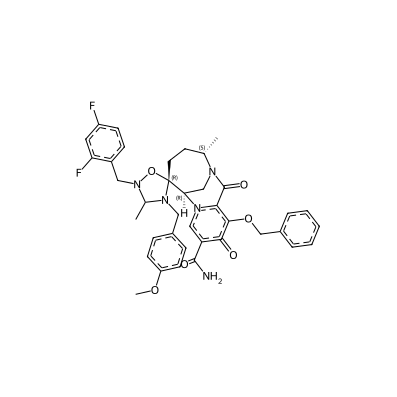 COc1ccc(CN2C(C)N(Cc3ccc(F)cc3F)O[C@@]23CC[C@H](C)N2C[C@H]3n3cc(C(N)=O)c(=O)c(OCc4ccccc4)c3C2=O)cc1